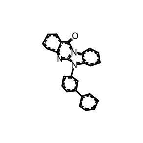 O=c1c2ccccc2nc2n(-c3cccc(-c4ccccc4)c3)c3ccccc3n12